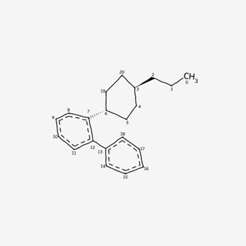 CCC[C@H]1CC[C@H](c2ccccc2-c2ccccc2)CC1